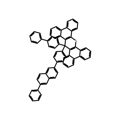 c1ccc(-c2ccc(C3(c4ccc(-c5ccc6cc(-c7ccccc7)ccc6c5)cc4)c4c(c5ccccc5c5ccccc45)Sc4c3c3ccccc3c3ccccc43)cc2)cc1